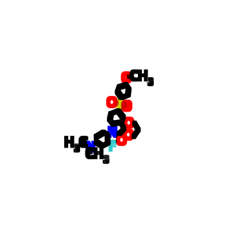 COc1ccc(S(=O)(=O)c2ccc3c(c2)C2(OCCCO2)C(=O)N3c2ccc(N(C)C)cc2F)cc1